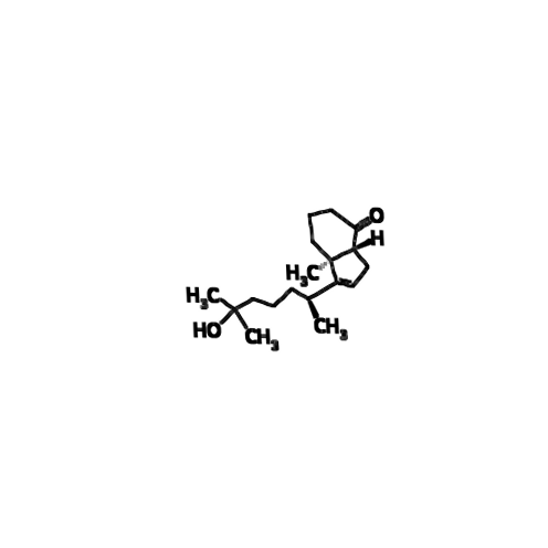 C[C@@H](CCCC(C)(C)O)C1=CC[C@H]2C(=O)CCC[C@]12C